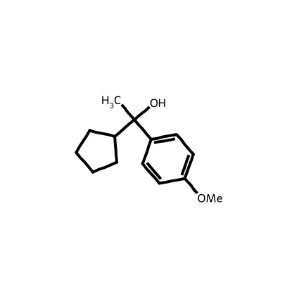 COc1ccc(C(C)(O)C2CCCC2)cc1